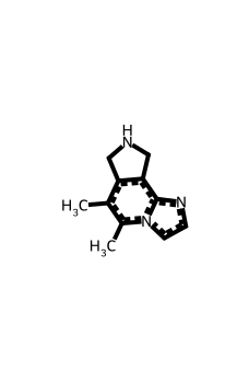 Cc1c2c(c3nccn3c1C)CNC2